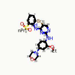 CCCS(=O)(=O)c1ccccc1Nc1nc(Nc2ccc(N3CCOCC3)cc2OCC)ncc1Br